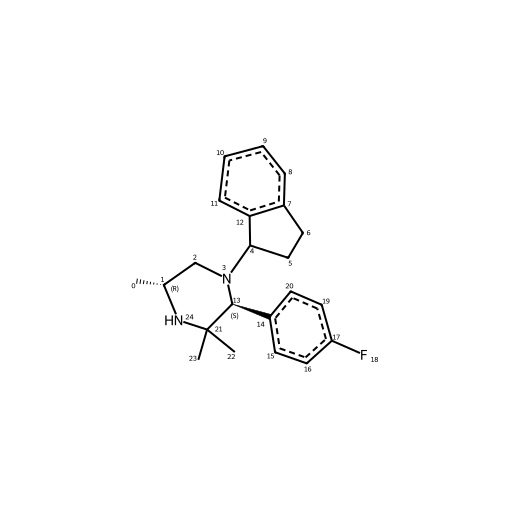 C[C@@H]1CN(C2CCc3ccccc32)[C@@H](c2ccc(F)cc2)C(C)(C)N1